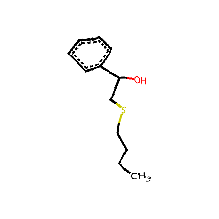 CCCCSCC(O)c1ccccc1